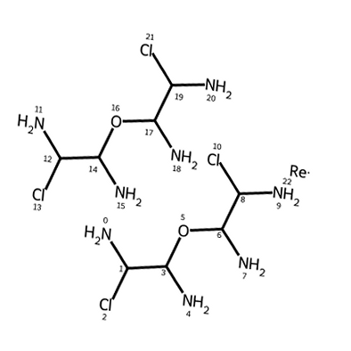 NC(Cl)C(N)OC(N)C(N)Cl.NC(Cl)C(N)OC(N)C(N)Cl.[Re]